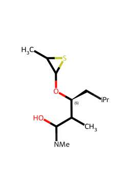 CNC(O)C(C)[C@H](CC(C)C)OC1SC1C